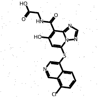 O=C(O)CNC(=O)c1c(O)cc(Sc2cncc3c(Cl)cccc23)n2ncnc12